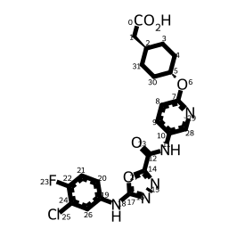 O=C(O)C[C@H]1CC[C@H](Oc2ccc(NC(=O)c3nnc(Nc4ccc(F)c(Cl)c4)o3)cn2)CC1